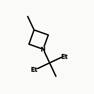 CCC(C)(CC)N1CC(C)C1